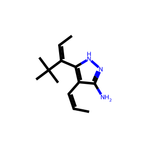 C/C=C\c1c(N)n[nH]c1/C(=C\C)C(C)(C)C